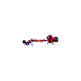 Nc1nnc(-c2ccccc2O)cc1N1CCN(C(=O)CCOCCOCCOCCOCCNC(=O)c2ccc3c(c2)C2(OC3=O)c3cc4c5c(c3Oc3c2cc2c6c3CCCN6CCC2)CCCN5CCC4)CC1